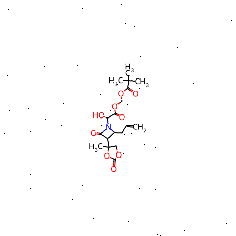 C=CCC1C(C2(C)COC(=O)O2)C(=O)N1C(O)C(=O)OCOC(=O)C(C)(C)C